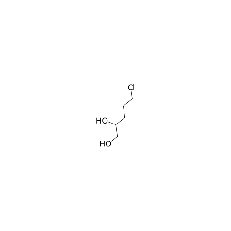 OCC(O)CCCCl